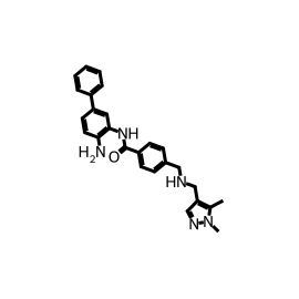 Cc1c(CNCc2ccc(C(=O)Nc3cc(-c4ccccc4)ccc3N)cc2)cnn1C